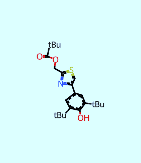 CC(C)(C)C(=O)OCc1nc(-c2cc(C(C)(C)C)c(O)c(C(C)(C)C)c2)cs1